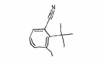 Cc1cccc(C#N)c1C(C)(C)C